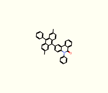 Cc1ccc2c(-c3ccc4c(c3)c3ccccc3c(=O)n4-c3ccccc3)c3cc(C)ccc3c(-c3ccccc3)c2c1